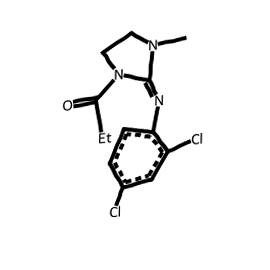 CCC(=O)N1CCN(C)/C1=N/c1ccc(Cl)cc1Cl